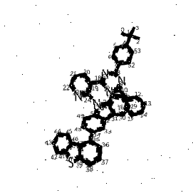 CC(C)(C)c1ccc(-c2nc(-c3ccccc3)nc(-c3cccnc3-n3c4ccccc4c4cc(-c5cccc6sc7ccccc7c56)ccc43)n2)cc1